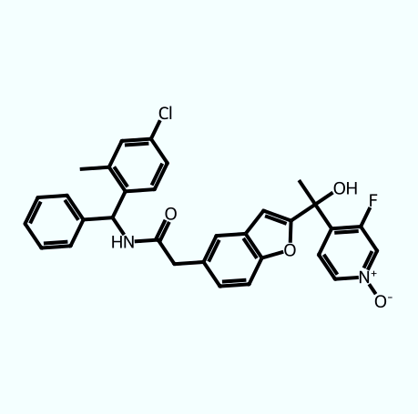 Cc1cc(Cl)ccc1C(NC(=O)Cc1ccc2oc(C(C)(O)c3cc[n+]([O-])cc3F)cc2c1)c1ccccc1